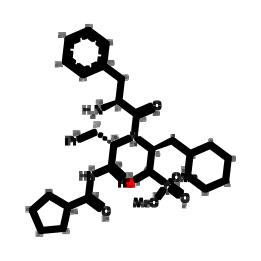 COP(=O)(OC)C(O)[C@H](CC1CCCCC1)N(C(=O)[C@@H](N)Cc1ccccc1)[C@@H](CC(C)C)C(=O)NC(=O)C1CCCC1